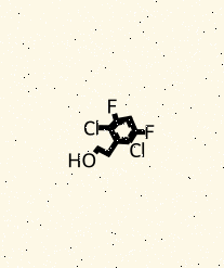 OCCc1c(Cl)c(F)cc(F)c1Cl